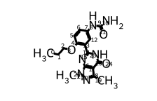 CCCOc1ccc(NC(N)=O)cc1-c1nc2c(c(C)nn2C)c(=O)[nH]1